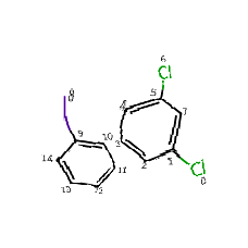 Clc1cccc(Cl)c1.Ic1ccccc1